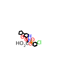 O=C(O)C(NS(=O)(=O)c1cccc(Cl)c1)Oc1cccc2c1OC1CCCC21